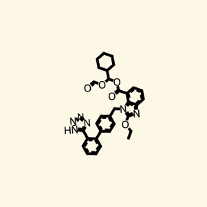 CCOc1nc2cccc(C(=O)OC(OC=O)C3CCCCC3)c2n1Cc1ccc(-c2ccccc2-c2nnn[nH]2)cc1